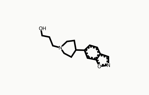 OCCCN1CCC(c2ccc3cnoc3c2)CC1